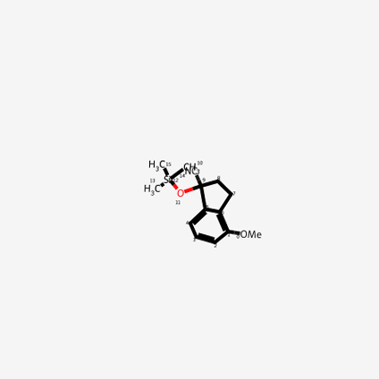 COc1cccc2c1CCC2(C#N)O[Si](C)(C)C